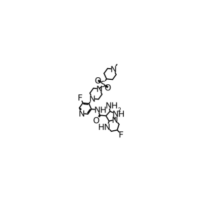 CN1CCC(S(=O)(=O)N2CCN(c3c(F)cncc3NC(=O)C3C(N)NN4CC(F)CNC34)CC2)CC1